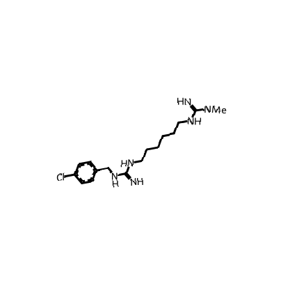 CNC(=N)NCCCCCCNC(=N)NCc1ccc(Cl)cc1